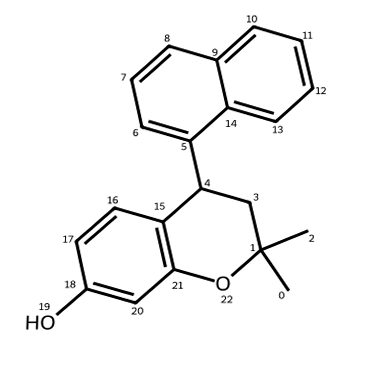 CC1(C)CC(c2cccc3ccccc23)c2ccc(O)cc2O1